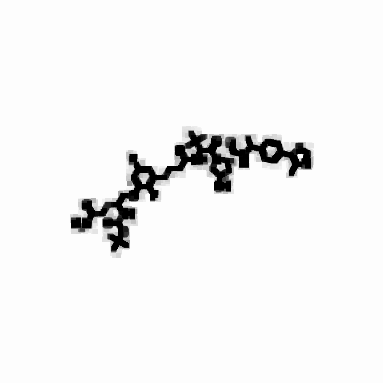 Cc1ncsc1-c1ccc(C(C)NC(=O)[C@@H]2C[C@@H](O)CN2C(=O)C(NC(=O)CCCc2cc(F)cc(OCC(CCC(N)=O)NC(=O)OC(C)(C)C)c2F)C(C)(C)C)cc1